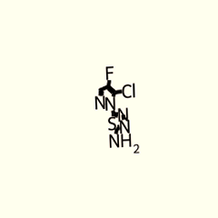 Nc1nnc(-n2ncc(F)c2Cl)s1